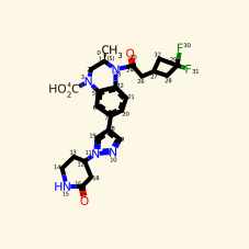 C[C@H]1CN(C(=O)O)c2cc(-c3cnn(C4CCNC(=O)C4)c3)ccc2N1C(=O)CC1CC(F)(F)C1